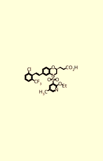 CCOc1ncc(C)cc1S(=O)(=O)N1C[C@H](CCC(=O)O)Oc2ccc(/C=C/c3c(Cl)cccc3C(F)(F)F)cc21